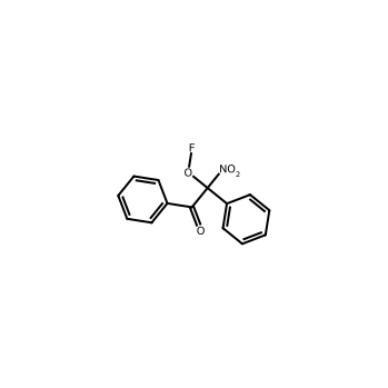 O=C(c1ccccc1)C(OF)(c1ccccc1)[N+](=O)[O-]